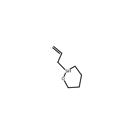 C=C[CH][SiH]1CCCCO1